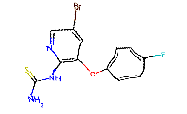 NC(=S)Nc1ncc(Br)cc1Oc1ccc(F)cc1